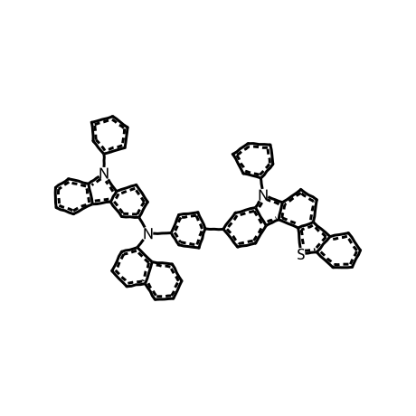 c1ccc(-n2c3ccccc3c3cc(N(c4ccc(-c5ccc6c7c8sc9ccccc9c8ccc7n(-c7ccccc7)c6c5)cc4)c4cccc5ccccc45)ccc32)cc1